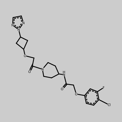 O=C(COc1ccc(Cl)c(F)c1)NC1CCN(C(=O)COC2CC(n3nccn3)C2)CC1